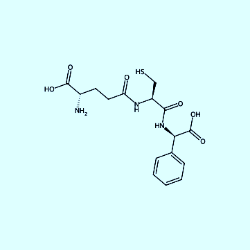 N[C@@H](CCC(=O)N[C@@H](CS)C(=O)N[C@@H](C(=O)O)c1ccccc1)C(=O)O